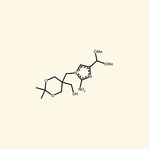 COC(OC)c1cn(CC2(CO)COC(C)(C)OC2)c([N+](=O)[O-])n1